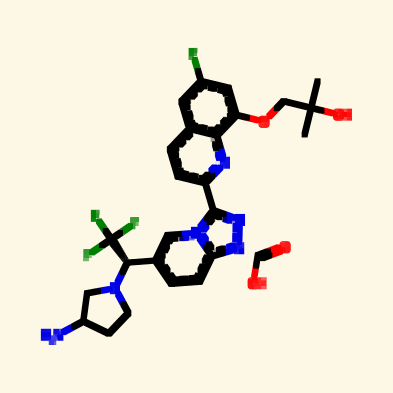 CC(C)(O)COc1cc(F)cc2ccc(-c3nnc4ccc([C@@H](N5CCC(N)C5)C(F)(F)F)cn34)nc12.O=CO